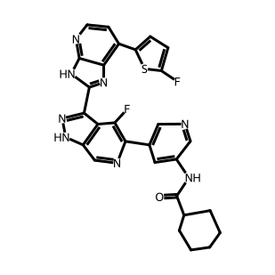 O=C(Nc1cncc(-c2ncc3[nH]nc(-c4nc5c(-c6ccc(F)s6)ccnc5[nH]4)c3c2F)c1)C1CCCCC1